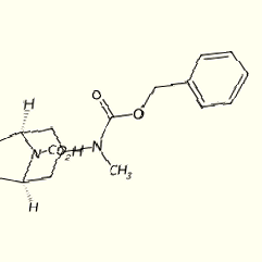 CN(C(=O)OCc1ccccc1)C1C[C@H]2CC[C@@H](C1)N2C(=O)O